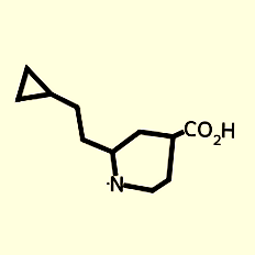 O=C(O)C1CC[N]C(CCC2CC2)C1